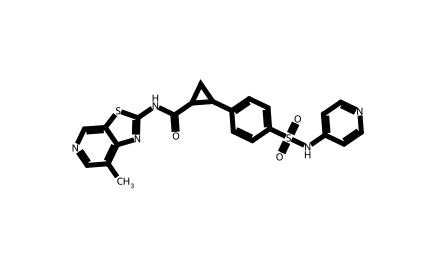 Cc1cncc2sc(NC(=O)C3CC3c3ccc(S(=O)(=O)Nc4ccncc4)cc3)nc12